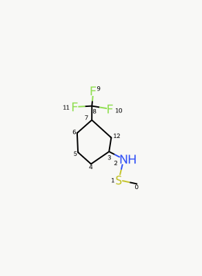 CSNC1CCCC(C(F)(F)F)C1